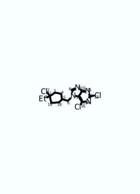 CCC1(Cl)CCC(Cn2cnc3nc(Cl)nc(Cl)c32)CC1